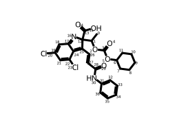 CC(OC(=O)OC1CCCCC1)C1(C(=O)O)N=c2cc(Cl)cc(Cl)c2=C1/C=C/C(=O)Nc1ccccc1